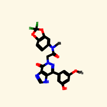 CCN(C(=O)Cn1nc(-c2cc(O)cc(OC(F)(F)F)c2)c2[nH]cnc2c1=O)c1ccc2c(c1)OC(F)(F)O2